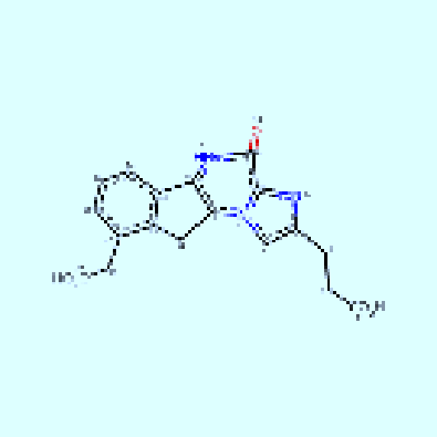 O=C(O)CCc1cn2c3c([nH]c(=O)c2n1)-c1cccc(CC(=O)O)c1C3